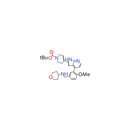 COc1ccc(CNC2CCOCC2)cc1-c1ccnc2[nH]c(C3=CCN(C(=O)OC(C)(C)C)CC3)cc12